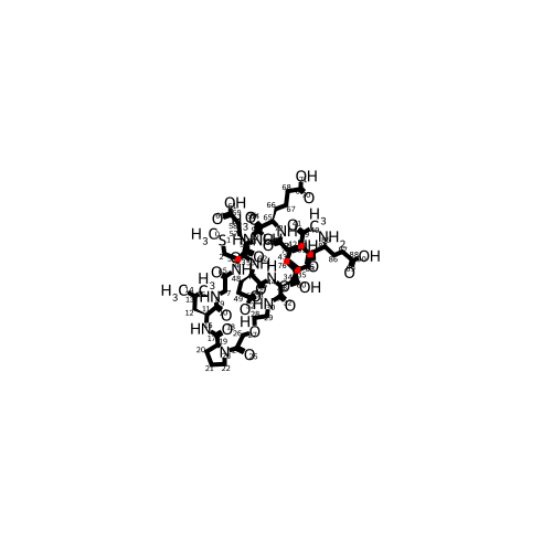 CSCC(NC(=O)CNC(=O)[C@H](CC(C)C)NC(=O)C1CCCN1C(=O)COCCNC(=O)[C@H](Cc1ccc(C(C)=O)cc1)NC(=O)[C@@H](CCC(=O)O)NC(=O)[C@@H](CCC(=O)O)NC(=O)[C@@H](CCCC(=O)O)NC(=O)[C@@H](CCC(=O)O)NC(=O)[C@H](N)CCC(=O)O)C(=O)NC(C)C